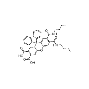 CCCCNC(=O)c1cc2c(cc1C(=O)NCCCC)C(c1ccccc1)(c1ccccc1)c1cc(C(=O)O)c(C(=O)O)cc1O2